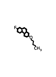 CCCCCOc1ccc2c(ccc3cc(F)ccc32)c1